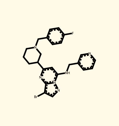 Fc1ccc(CN2CCCC(c3cc(NCc4cccnc4)n4ncc(Br)c4n3)C2)cc1